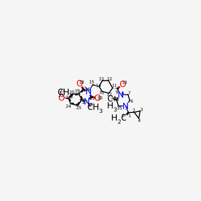 C=C(C1CC1)N1CCN(C(=O)[C@H]2CC[C@H](Cn3c(=O)c4cc(OC)ccc4n(C)c3=O)CC2)[C@H](C)C1